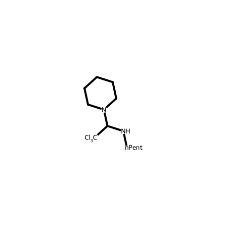 CCCCCNC(N1CCCCC1)C(Cl)(Cl)Cl